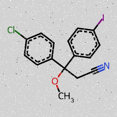 COC(CC#N)(c1ccc(Cl)cc1)c1ccc(I)cc1